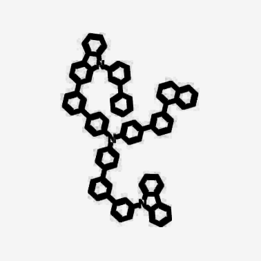 c1ccc(-c2cccc(-n3c4ccccc4c4ccc(-c5cccc(-c6ccc(N(c7ccc(-c8cccc(-c9cccc(-n%10c%11ccccc%11c%11ccccc%11%10)c9)c8)cc7)c7ccc(-c8cccc(-c9cccc%10ccccc9%10)c8)cc7)cc6)c5)cc43)c2)cc1